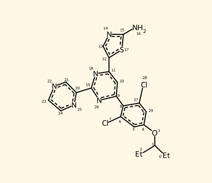 CCC(CC)Oc1cc(Cl)c(-c2cc(-c3cnc(N)s3)nc(-c3cnccn3)n2)c(Cl)c1